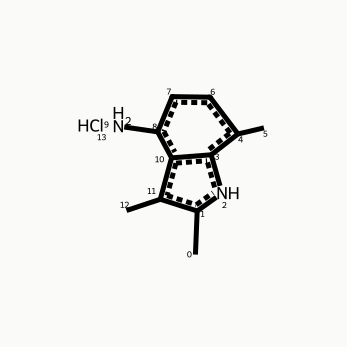 Cc1[nH]c2c(C)ccc(N)c2c1C.Cl